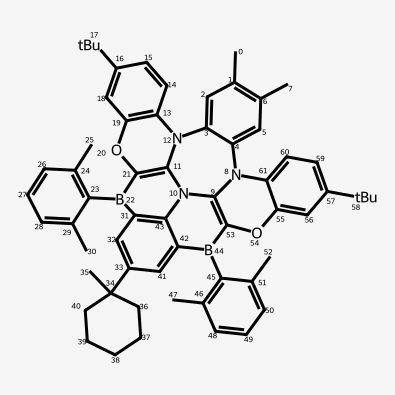 Cc1cc2c(cc1C)n1c3n4c5n2-c2ccc(C(C)(C)C)cc2OC=5B(c2c(C)cccc2C)c2cc(C5(C)CCCCC5)cc(c2-4)B(c2c(C)cccc2C)C=3Oc2cc(C(C)(C)C)ccc2-1